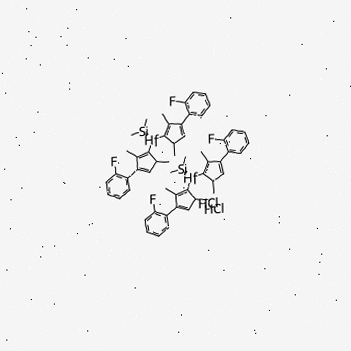 CC1=[C]([Hf]([C]2=C(C)C(c3ccccc3F)=CC2C)=[Si](C)C)C(C)C=C1c1ccccc1F.CC1=[C]([Hf]([C]2=C(C)C(c3ccccc3F)=CC2C)=[Si](C)C)C(C)C=C1c1ccccc1F.Cl.Cl